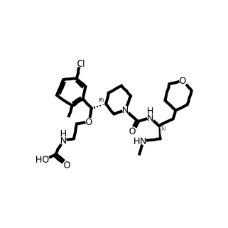 CNC[C@H](CC1CCOCC1)NC(=O)N1CCC[C@@H](C(OCCNC(=O)O)c2cc(Cl)ccc2C)C1